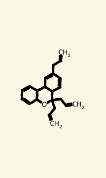 C=CCC1=CC2C3C=CC=CC3OC(CC=C)(CC=C)C2C=C1